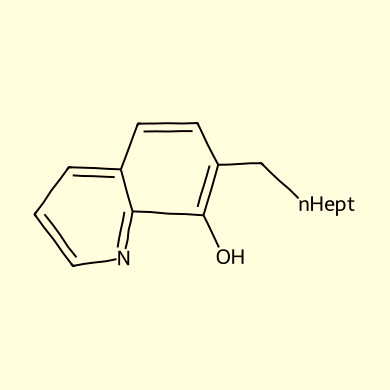 CCCCCCCCc1ccc2cccnc2c1O